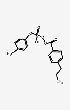 CCCc1ccc(C(=O)OOP(=O)(O)Oc2ccc(C)cc2)cc1